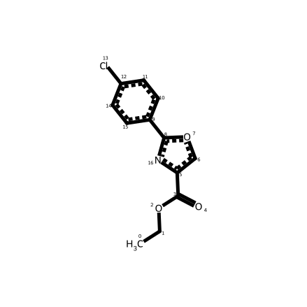 CCOC(=O)c1coc(-c2ccc(Cl)cc2)n1